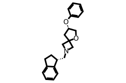 c1ccc(O[C@@H]2COC3(C2)CN(C[C@H]2CCc4ccccc42)C3)cc1